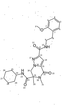 COc1ccccc1CCNC(=O)c1cc2n(n1)CC(C)(C(=O)NC1CCCCC1)N(C)C2=O